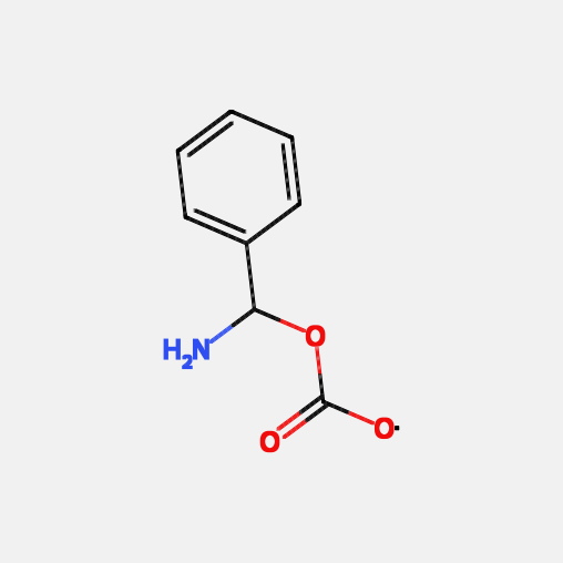 NC(OC([O])=O)c1ccccc1